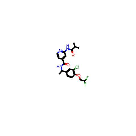 CC(C)C(=O)Nc1cc(C(=O)NC(C)c2ccc(OCC(F)F)c(Cl)c2)ccn1